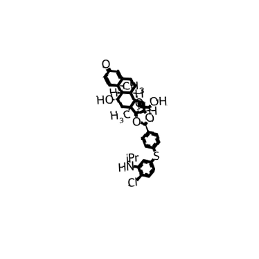 CC(C)Nc1cc(Sc2ccc([C@@H]3O[C@@H]4CC5[C@@H]6CCC7=CC(=O)C=C[C@]7(C)[C@H]6[C@@H](O)C[C@]5(C)[C@]4(C(=O)CO)O3)cc2)ccc1Cl